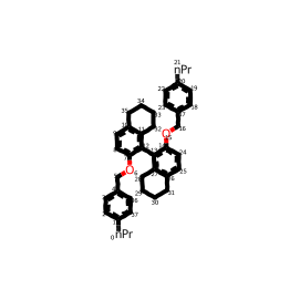 CCCc1ccc(COc2ccc3c(c2-c2c(OCc4ccc(CCC)cc4)ccc4c2CCCC4)CCCC3)cc1